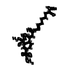 COC(=O)CCCCCCNCC(O)c1ccc(S(C)(=O)=O)cc1S(C)(=O)=O